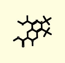 COC(=O)C1CN2C(C(C)SC)=N[C@@H](C(C)(C)C)C(C(C)(C)C)=C2CN1C